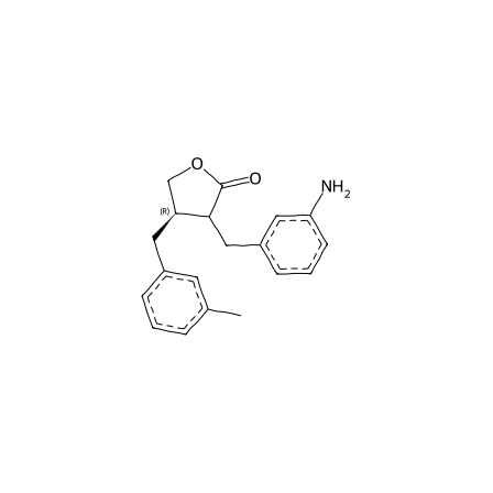 Cc1cccc(C[C@H]2COC(=O)C2Cc2cccc(N)c2)c1